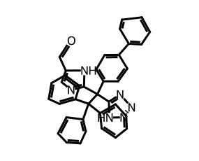 O=Cc1cnc(C(c2ccc(-c3ccccc3)cc2)(c2nnn[nH]2)C(c2ccccc2)(c2ccccc2)c2ccccc2)[nH]1